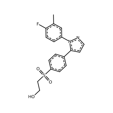 Cc1cc(-n2nccc2-c2ccc(S(=O)(=O)CCO)cc2)ccc1F